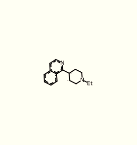 CCN1C[CH][C](c2nccc3ccccc23)CC1